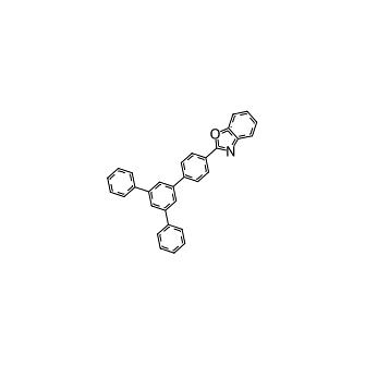 c1ccc(-c2cc(-c3ccccc3)cc(-c3ccc(-c4nc5ccccc5o4)cc3)c2)cc1